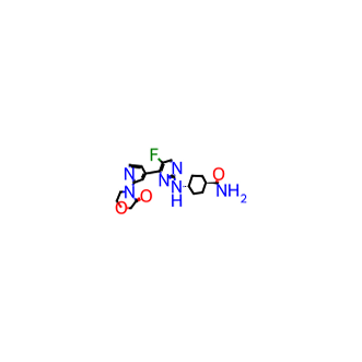 NC(=O)[C@H]1CC[C@H](Nc2ncc(F)c(-c3ccnc(N4CCOCC4=O)c3)n2)CC1